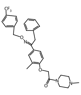 Cc1cc(C(Cc2ccccc2)=NOCc2ccc(C(F)(F)F)cc2)ccc1OCC(=O)N1CCN(C)CC1